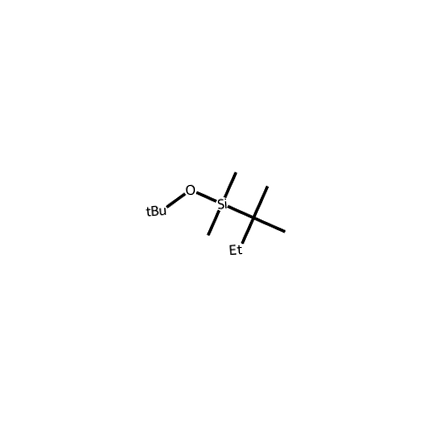 CCC(C)(C)[Si](C)(C)OC(C)(C)C